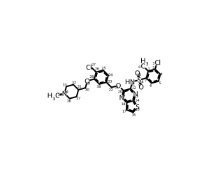 Cc1c(Cl)cccc1S(=O)(=O)Nc1nc2sccc2nc1OCc1ccc(Cl)c(OCC2CCN(C)CC2)c1